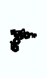 C=NCc1ccc(N2C[C@]3(CC[C@@](NC)(c4ccccc4)CC3)N(CC3(O)CCC3)C2=O)c(OC)c1